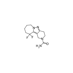 NC(=O)N1CCc2nn3c(c2C1)C(F)(F)CCCC3